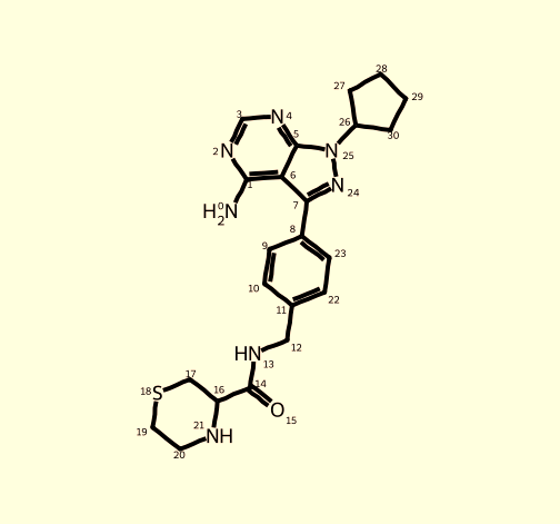 Nc1ncnc2c1c(-c1ccc(CNC(=O)C3CSCCN3)cc1)nn2C1CCCC1